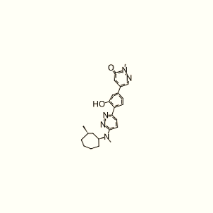 C[C@@H]1CCCC[C@H](N(C)c2ccc(-c3ccc(-c4cnn(C)c(=O)c4)cc3O)nn2)C1